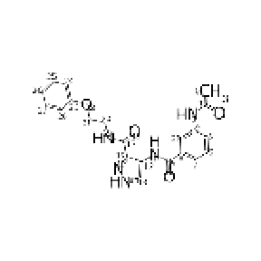 CC(=O)Nc1cccc(C(=O)Nc2c[nH]nc2C(=O)NCCOc2ccccc2)c1